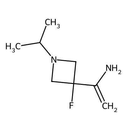 C=C(N)C1(F)CN(C(C)C)C1